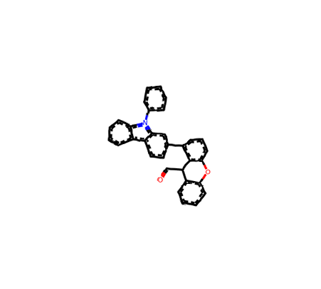 O=CC1c2ccccc2Oc2cccc(-c3ccc4c5ccccc5n(-c5ccccc5)c4c3)c21